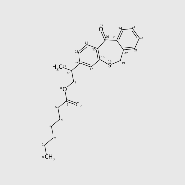 CCCCCCC(=O)OCC(C)c1ccc2c(c1)SCc1ccccc1C2=O